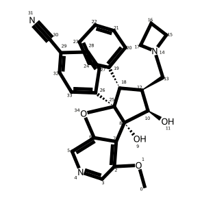 COc1cncc2c1[C@]1(O)[C@H](O)[C@H](CN3CCC3)[C@@H](c3ccccc3)[C@]1(c1ccc(C#N)cc1)O2